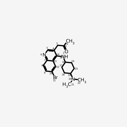 CC(=O)Cc1cnc2ccc(Br)cc2c1NC1CCC(N(C)C)CC1